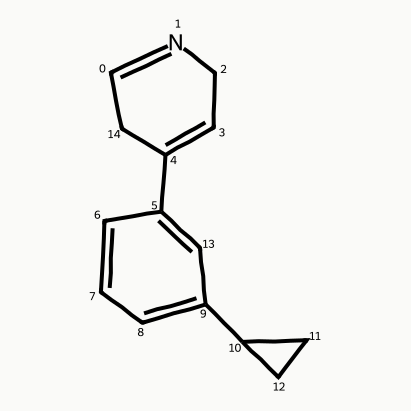 C1=NCC=C(c2cccc(C3CC3)c2)C1